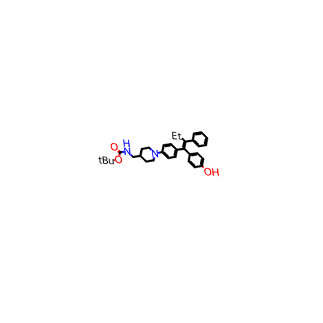 CCC(=C(c1ccc(O)cc1)c1ccc(N2CCC(CNC(=O)OC(C)(C)C)CC2)cc1)c1ccccc1